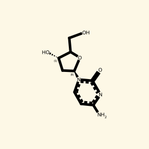 Nc1ccn([C@H]2C[C@H](O)C(CO)O2)c(=O)n1